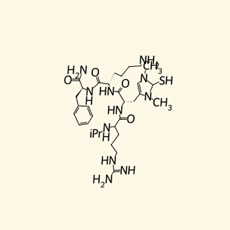 CC(C)NC(CCCNC(=N)N)C(=O)N[C@@H](CC1=CN(C)C(S)N1C)C(=O)N[C@@H](CCCCN)C(=O)N[C@@H](Cc1ccccc1)C(N)=O